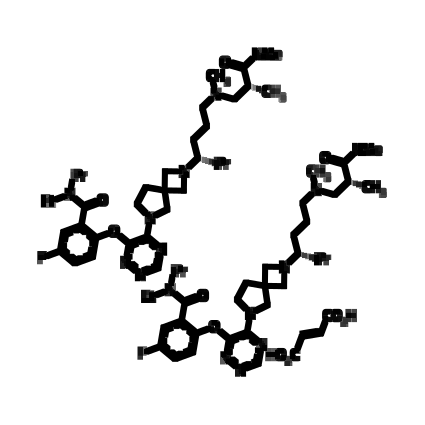 CCN(C(=O)c1cc(F)ccc1Oc1nncnc1N1CCC2(C1)CN([C@H](CCCN(C)C[C@@H](C)C(=O)NC)C(C)C)C2)C(C)C.CCN(C(=O)c1cc(F)ccc1Oc1nncnc1N1CCC2(C1)CN([C@H](CCCN(C)C[C@@H](C)C(=O)NC)C(C)C)C2)C(C)C.O=C(O)/C=C/C(=O)O